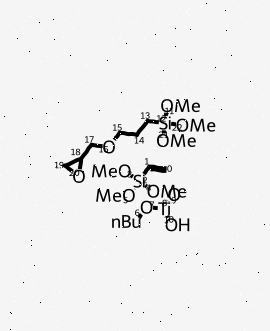 C=C[Si](OC)(OC)OC.CCCC[O][Ti](=[O])[OH].CO[Si](CCCOCC1CO1)(OC)OC